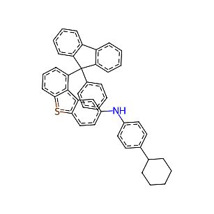 c1ccc(C2(c3cccc4sc5ccc(Nc6ccc(C7CCCCC7)cc6)cc5c34)c3ccccc3-c3ccccc32)cc1